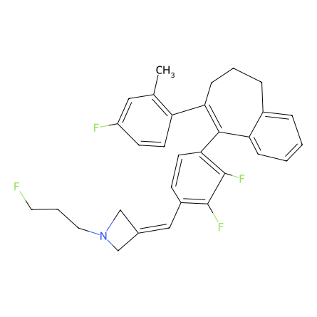 Cc1cc(F)ccc1C1=C(c2ccc(C=C3CN(CCCF)C3)c(F)c2F)c2ccccc2CCC1